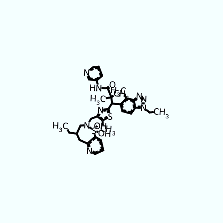 CCC1Cc2ncccc2S(O)(O)N(Cc2nc(C(c3ccc4c(nnn4CC)c3C)C(C)(C)C(=O)Nc3cccnc3)sc2C)C1